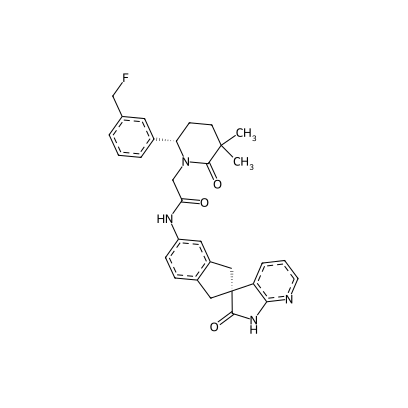 CC1(C)CC[C@@H](c2cccc(CF)c2)N(CC(=O)Nc2ccc3c(c2)C[C@@]2(C3)C(=O)Nc3ncccc32)C1=O